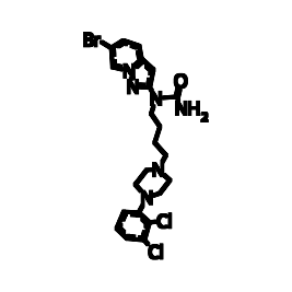 NC(=O)N(CCCCN1CCN(c2cccc(Cl)c2Cl)CC1)c1cc2ccc(Br)cn2n1